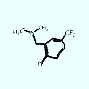 CN(C)Cc1cc(C(F)(F)F)ccc1Cl